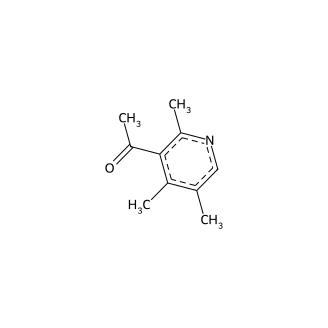 CC(=O)c1c(C)ncc(C)c1C